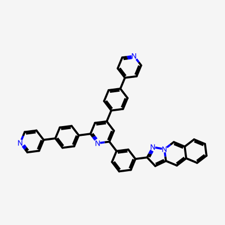 c1cc(-c2cc(-c3ccc(-c4ccncc4)cc3)cc(-c3ccc(-c4ccncc4)cc3)n2)cc(-c2cc3cc4ccccc4cn3n2)c1